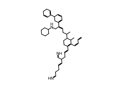 C=C/C=C\C1=C(/C=C/CC(C=N)/C=C/CCC=N)CCC(C(C)C/C=C(\CNC2CCCCC2)C2=CC=CC(C3=CCCC=C3)C2)C1C